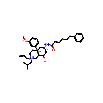 C=CC[N@@+]1(CC(C)C)CC[C@]2(c3cccc(OC)c3)C[C@H](NC(=O)CCCCCc3ccccc3)CC(O)C2C1